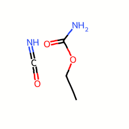 CCOC(N)=O.N=C=O